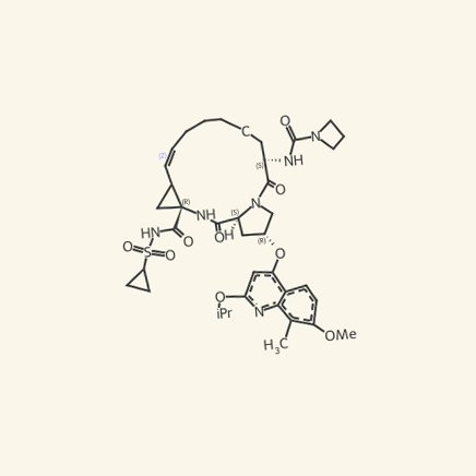 COc1ccc2c(O[C@@H]3C[C@H]4C(=O)N[C@]5(C(=O)NS(=O)(=O)C6CC6)CC5/C=C\CCCCC[C@H](NC(=O)N5CCC5)C(=O)N4C3)cc(OC(C)C)nc2c1C